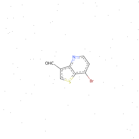 O=Cc1csc2c(Br)ccnc12